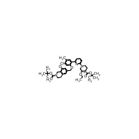 CCO[C@H]1CN(c2cccc(-c3cc(C)ccc3OCc3cc4c(c(OC)c3)CN(C(=O)OC(C)(C)C)CC4)n2)CC[C@H]1C(=O)OC(C)(C)C